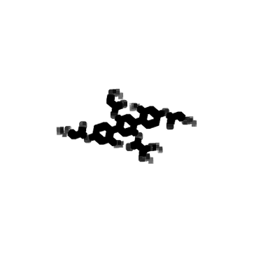 C=CC(=O)Oc1ccc(-c2cc(OC(=O)C(=C)C)c(-c3ccc(OC(=O)C=C)cc3C(C)C)cc2OC(=O)C=C)c(C(C)C)c1